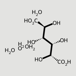 O.O.O.O.O=C(O)[C@@H](O)[C@@H](O)[C@H](O)[C@@H](O)C(=O)O